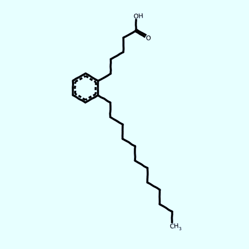 CCCCCCCCCCCCc1ccccc1CCCCC(=O)O